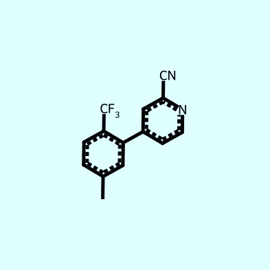 Cc1ccc(C(F)(F)F)c(-c2ccnc(C#N)c2)c1